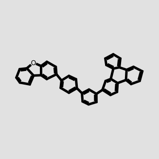 c1cc(-c2ccc(-c3ccc4oc5ccccc5c4c3)cc2)cc(-c2ccc3c4ccccc4c4ccccc4c3c2)c1